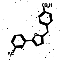 O=C(O)c1ccc(Cc2ccc(-c3cccc(C(F)(F)F)c3)o2)cc1